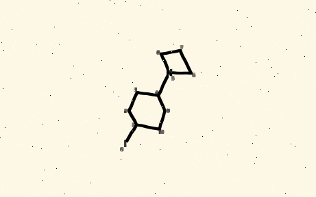 IC1CCC(N2CCC2)CC1